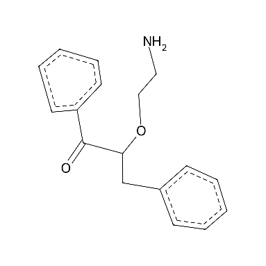 NCCOC(Cc1ccccc1)C(=O)c1ccccc1